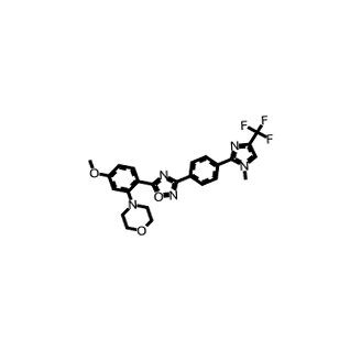 COc1ccc(-c2nc(-c3ccc(-c4nc(C(F)(F)F)cn4C)cc3)no2)c(N2CCOCC2)c1